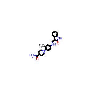 NC(=O)C1CCN(c2ccc(N/C=C3\C(=O)Nc4ccccc43)cc2C(F)(F)F)CC1